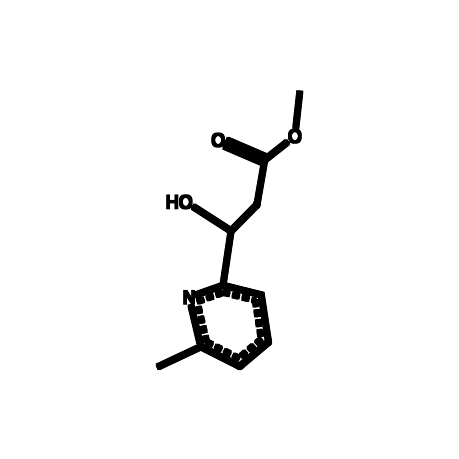 COC(=O)CC(O)c1cccc(C)n1